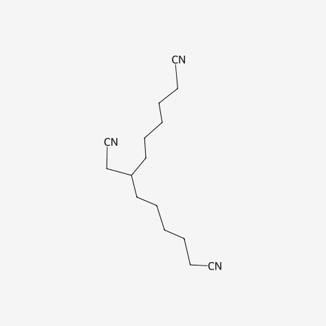 N#CCCCCCC(CC#N)CCCCCC#N